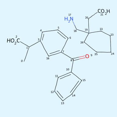 CC(C(=O)O)c1cccc(C(=O)c2ccccc2)c1.NCC1(CC(=O)O)CCCCC1